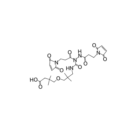 CC(C)(CNC(=O)N(NC(=O)CCN1C(=O)C=CC1=O)C(=O)CCN1C(=O)C=CC1=O)COCC(C)(C)CC(=O)O